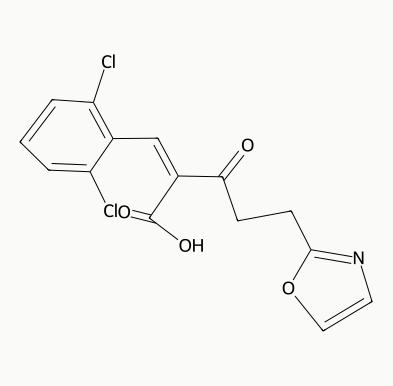 O=C(O)C(=Cc1c(Cl)cccc1Cl)C(=O)CCc1ncco1